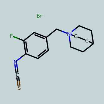 Fc1cc(C[N+]23CCC(CC2)CC3)ccc1N=C=S.[Br-]